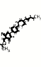 CCCCC[C@H]1CC[C@H]([C@H]2CC[C@H](c3cc(F)c(COCC)c(F)c3)CC2)CC1